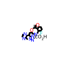 Cc1nccnc1-c1cc2c(n3cnnc13)N(C(=O)O)Cc1c(F)ccc3c1[C@@H](CO3)CO2